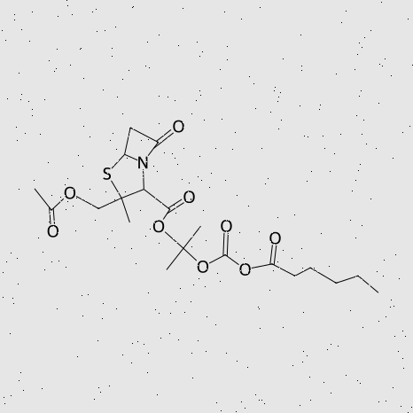 CCCCCC(=O)OC(=O)OC(C)(C)OC(=O)C1N2C(=O)CC2SC1(C)COC(C)=O